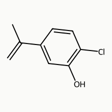 C=C(C)c1ccc(Cl)c(O)c1